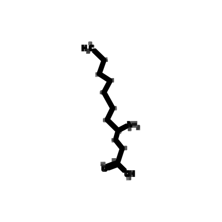 CCCCCCCC(N)CCC(=O)O